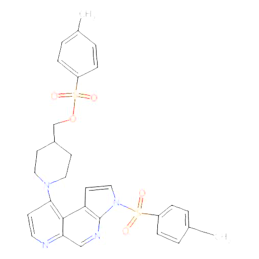 Cc1ccc(S(=O)(=O)OCC2CCN(c3ccnc4cnc5c(ccn5S(=O)(=O)c5ccc(C)cc5)c34)CC2)cc1